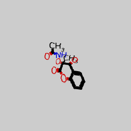 CC(=O)NO[C@@]1(C)C(=O)Oc2ccccc2C1=O